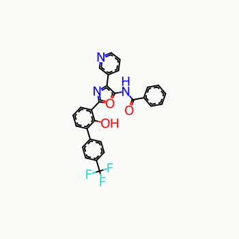 O=C(Nc1oc(-c2cccc(-c3ccc(C(F)(F)F)cc3)c2O)nc1-c1cccnc1)c1ccccc1